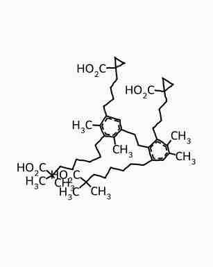 Cc1cc(CCCCCCC(C)(C)C(=O)O)c(CCc2cc(CCCCC3(C(=O)O)CC3)c(C)c(CCCCCCC(C)(C)C(=O)O)c2C)c(CCCCC2(C(=O)O)CC2)c1C